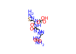 CN1C(=O)[C@@H](NC(=O)/C(=N\OC(C)(C)C(=O)O)c2csc(N)n2)[C@H]1Cn1ncc(CNS(N)(=O)=O)n1